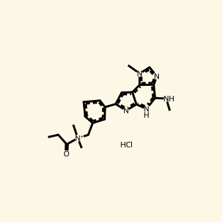 CCC(=O)[N+](C)(C)Cc1cccc(-c2cc3c4c(ncn4C)c(NC)[nH]c-3n2)c1.Cl